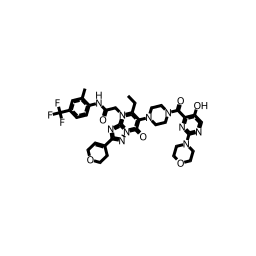 CCc1c(N2CCN(C(=O)c3nc(N4CCOCC4)ncc3O)CC2)c(=O)n2nc(C3=CCOCC3)nc2n1CC(=O)Nc1ccc(C(F)(F)F)cc1C